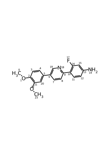 COc1ccc(-c2ccc(-c3ccc(N)cc3F)nc2)cc1OC